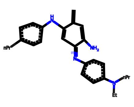 C=C1C=C(N)/C(=N\c2ccc(N(CC)CCC)cc2)C=C1Nc1ccc(CCC)cc1